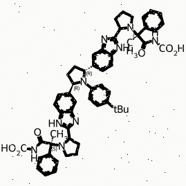 CC(C)(C)c1ccc(N2[C@@H](c3ccc4[nH]c(C5CCCN5[C@](C)(C(=O)NC(=O)O)c5ccccc5)nc4c3)CC[C@@H]2c2ccc3[nH]c(C4CCCN4[C@](C)(C(=O)NC(=O)O)c4ccccc4)nc3c2)cc1